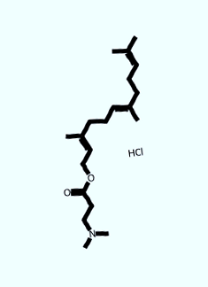 CC(C)=CCCC(C)=CCCC(C)=CCOC(=O)CCN(C)C.Cl